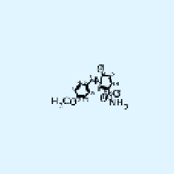 COc1ccc(Cn2cc(S(N)(=O)=O)ccc2=O)cc1